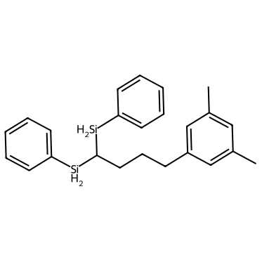 Cc1cc(C)cc(CCCC([SiH2]c2ccccc2)[SiH2]c2ccccc2)c1